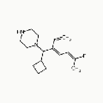 C=C/C(=C\C=C(/C)F)C(C1CCC1)N1CCNCC1